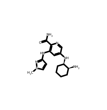 Cn1ccc(Nc2cc(N[C@@H]3CCCC[C@@H]3N)cnc2C(N)=O)n1